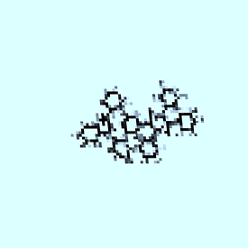 c1ccc(-c2nc(-c3cccc(-c4cccc(-c5nc(-c6ccccc6)c(-c6ccccc6)nc5-c5ccccc5)c4)c3)c3ccccc3n2)cc1